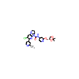 CC1(C)OC[C@@H](COc2cc(NC(=O)N3c4nc(-c5ccnc(C(F)(F)F)c5)c(Cl)cc4N4CCC3C4)ccn2)O1